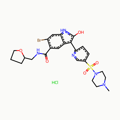 CN1CCN(S(=O)(=O)c2ccc(-c3c(O)[nH]c4cc(Br)c(C(=O)NCC5CCCO5)cc34)nc2)CC1.Cl